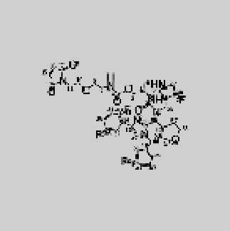 C[C@@H](COC(=O)NCCOCCN1C(=O)C=CC1=O)NC(=O)N(C[C@@H]1CNC[C@@H]1F)[C@@H](c1nc(-c2cc(F)ccc2F)cn1Cc1cccc(F)c1)C1CCOCC1